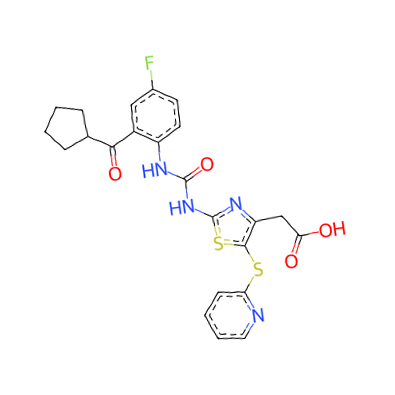 O=C(O)Cc1nc(NC(=O)Nc2ccc(F)cc2C(=O)C2CCCC2)sc1Sc1ccccn1